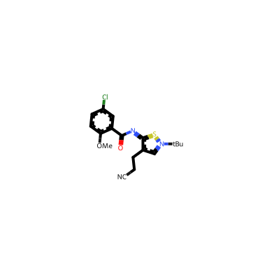 COc1ccc(Cl)cc1C(=O)N=c1sn(C(C)(C)C)cc1CCC#N